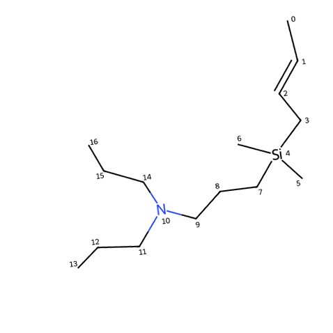 CC=CC[Si](C)(C)CCCN(CCC)CCC